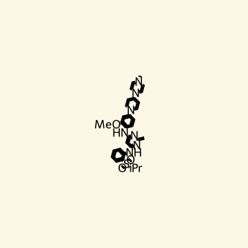 COc1cc(N2CCC(N3CCN(C)CC3)CC2)ccc1Nc1cc(Nc2ccccc2S(=O)(=O)C(C)C)nc(C)n1